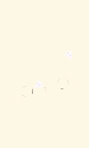 COc1ccc(N2CCC(c3ccc(OC)c(OCCN4CCCCC4)c3)C2=O)cc1.Cl